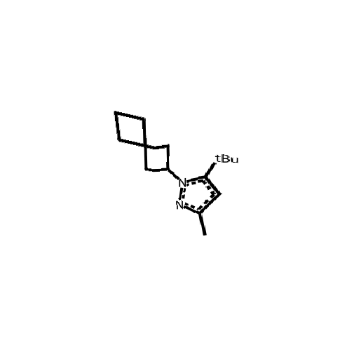 Cc1cc(C(C)(C)C)n(C2CC3(CCC3)C2)n1